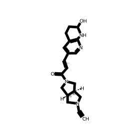 C#CN1C[C@@H]2CN(C(=O)/C=C/c3cnc4c(c3)CCC(O)N4)C[C@@H]2C1